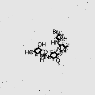 COc1cc(NC(=O)Nc2cc(O)cc(O)c2)ccc1Oc1nc(C)cc(Nc2cc(Br)n[nH]2)n1